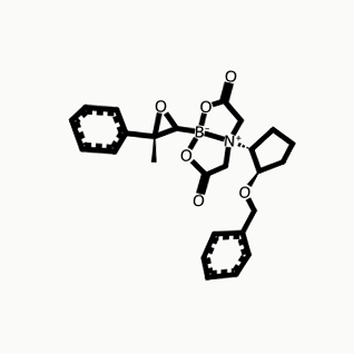 C[C@@]1(c2ccccc2)OC1[B-]12OC(=O)C[N+]1([C@@H]1CCC[C@H]1OCc1ccccc1)CC(=O)O2